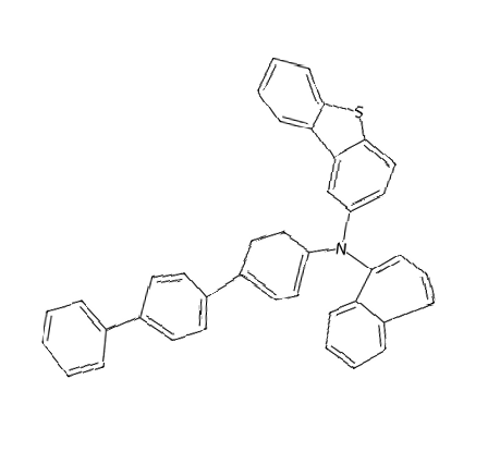 C1=C(c2ccc(-c3ccccc3)cc2)CCC(N(c2ccc3sc4ccccc4c3c2)c2cccc3ccccc23)=C1